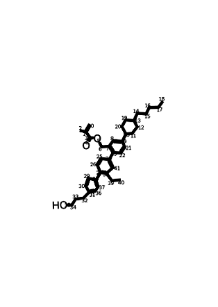 C=C(C)C(=O)OCc1cc(C2CCC(CCCCC)CC2)ccc1-c1ccc(-c2ccc(CCCO)cc2)c(CC)c1